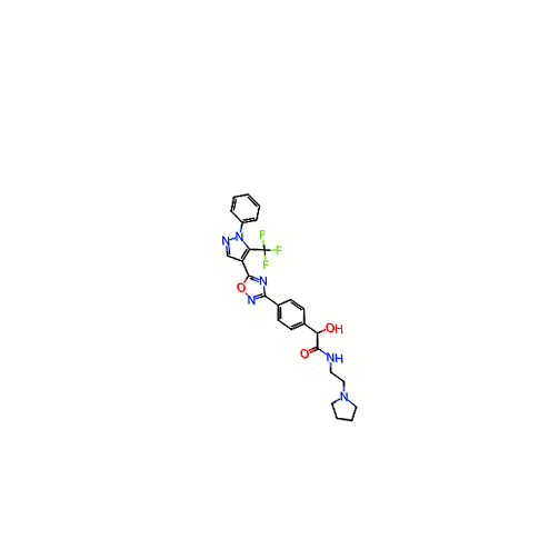 O=C(NCCN1CCCC1)C(O)c1ccc(-c2noc(-c3cnn(-c4ccccc4)c3C(F)(F)F)n2)cc1